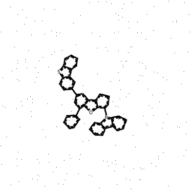 c1ccc(-c2cc(-c3ccc4sc5ccccc5c4c3)cc3c2oc2c(-n4c5ccccc5c5ccccc54)cccc23)cc1